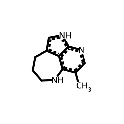 Cc1cnc2[nH]cc3c2c1NCCC3